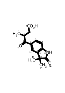 CC(CC(=O)O)C(=O)c1ccc2c(c1)C(C)(C)C(=O)N2